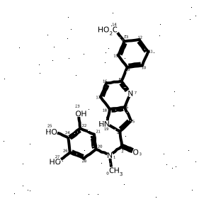 CN(C(=O)c1cc2nc(-c3cccc(C(=O)O)c3)ccc2[nH]1)c1cc(O)c(O)c(O)c1